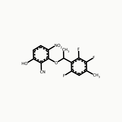 Cc1cc(F)c(C(C)Oc2c([N+](=O)[O-])ccc(O)c2C#N)c(F)c1F